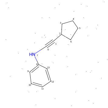 C(#CC1CCCC1)Nc1ccccc1